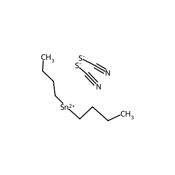 CCC[CH2][Sn+2][CH2]CCC.N#C[S-].N#C[S-]